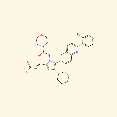 O=C(O)C=Cc1cc(C2CCCCC2)c(-c2ccc3nc(-c4ccccc4F)ccc3c2)n1CC(=O)N1CCOCC1